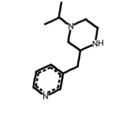 CC(C)N1CCNC(Cc2cccnc2)C1